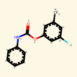 O=C(Nc1ccccc1)Oc1cc(F)cc(C(F)(F)F)c1